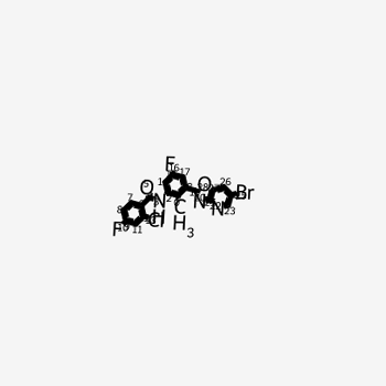 Cc1c(NC(=O)c2ccc(F)cc2Cl)cc(F)cc1-c1nc2ncc(Br)cc2o1